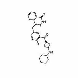 O=C(c1cc(Cc2n[nH]c(=O)c3ccccc23)ccc1F)N1CC(NC2CCCCC2)C1